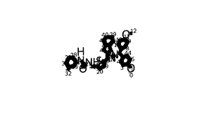 COc1ccc(C(c2ccc(OC)cc2)n2nc(-c3ccc(CNC(=O)Nc4cccc(C)c4)s3)c3c2-c2ccccc2C3)cc1